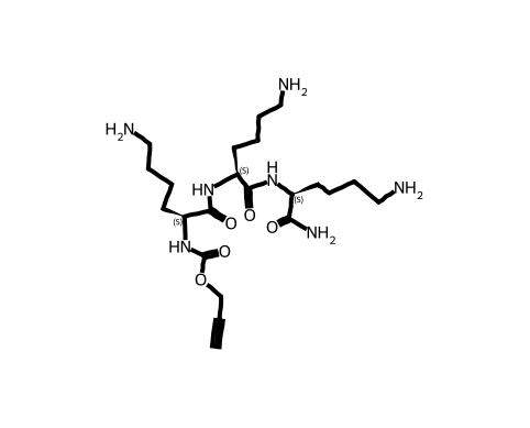 C#CCOC(=O)N[C@@H](CCCCN)C(=O)N[C@@H](CCCCN)C(=O)N[C@@H](CCCCN)C(N)=O